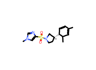 CC1=CC(C)C([C@@H]2CCN(S(=O)(=O)c3cn(C)cn3)C2)C=C1